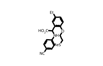 CCc1ccc(OCCSC)c(C(Nc2ccc(C#N)cc2)C(=O)O)c1